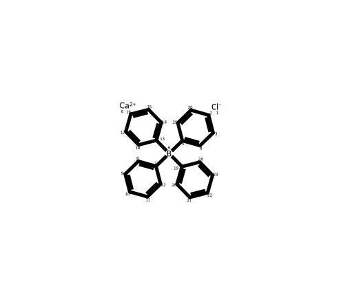 [Ca+2].[Cl-].c1ccc([B-](c2ccccc2)(c2ccccc2)c2ccccc2)cc1